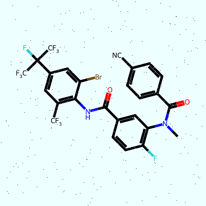 CN(C(=O)c1ccc(C#N)cc1)c1cc(C(=O)Nc2c(Br)cc(C(F)(C(F)(F)F)C(F)(F)F)cc2C(F)(F)F)ccc1F